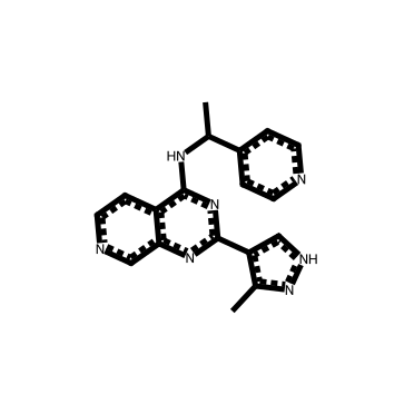 Cc1n[nH]cc1-c1nc(NC(C)c2ccncc2)c2ccncc2n1